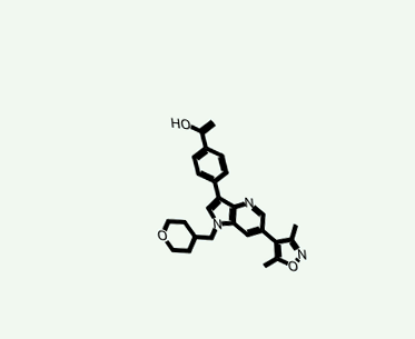 C=C(O)c1ccc(-c2cn(CC3CCOCC3)c3cc(-c4c(C)noc4C)cnc23)cc1